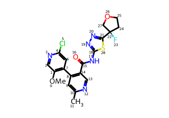 COc1cnc(Cl)cc1-c1cc(C)ncc1C(=O)Nc1nnc([C@@]2(F)CCOC2)s1